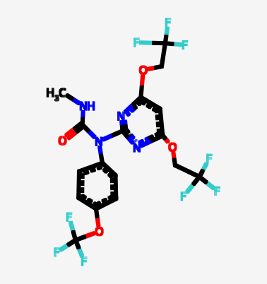 CNC(=O)N(c1ccc(OC(F)(F)F)cc1)c1nc(OCC(F)(F)F)cc(OCC(F)(F)F)n1